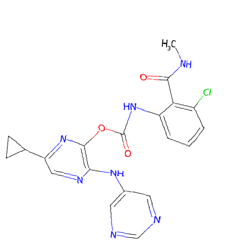 CNC(=O)c1c(Cl)cccc1NC(=O)Oc1nc(C2CC2)cnc1Nc1cncnc1